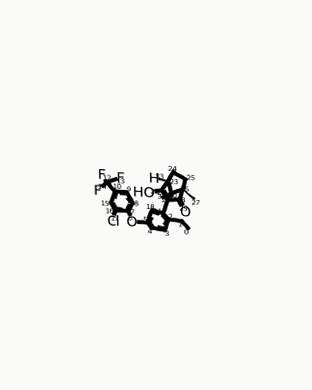 CCc1ccc(Oc2ccc(C(F)(F)F)cc2Cl)cc1C1=C(O)[C@@H]2CC[C@](C)(C1=O)C2(C)C